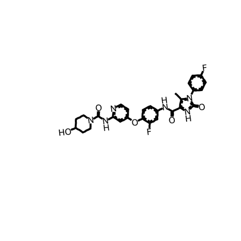 Cc1c(C(=O)Nc2ccc(Oc3ccnc(NC(=O)N4CCC(O)CC4)c3)c(F)c2)[nH]c(=O)n1-c1ccc(F)cc1